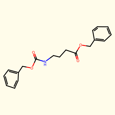 O=C(CCCNC(=O)OCc1ccccc1)OCc1ccccc1